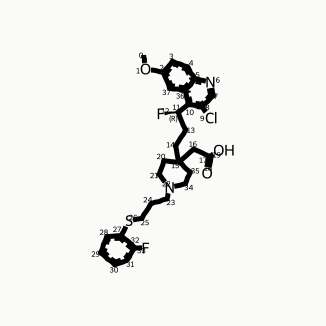 COc1ccc2ncc(Cl)c([C@H](F)CCC3(CC(=O)O)CCN(CCCSc4ccccc4F)CC3)c2c1